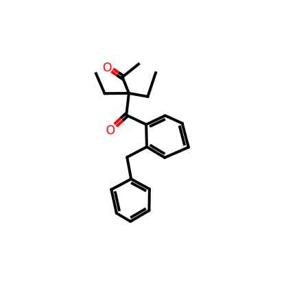 CCC(CC)(C(C)=O)C(=O)c1ccccc1Cc1ccccc1